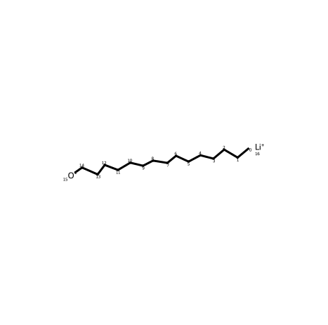 CCCCCCCCCCCCCCC[O-].[Li+]